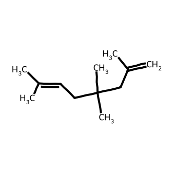 C=C(C)CC(C)(C)CC=C(C)C